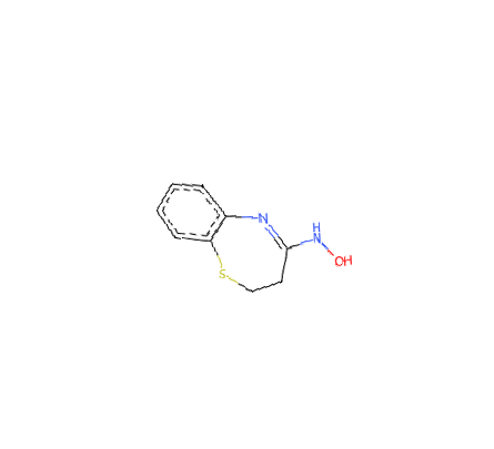 ONC1=Nc2ccccc2SCC1